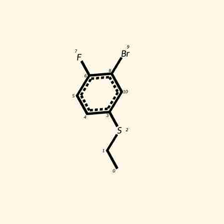 CCSc1ccc(F)c(Br)c1